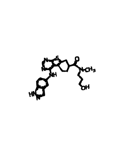 CN(CCCO)C(=O)C1CCc2c(sc3ncnc(Nc4ccc5[nH]ncc5c4)c23)C1